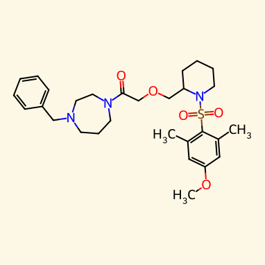 COc1cc(C)c(S(=O)(=O)N2CCCCC2COCC(=O)N2CCCN(Cc3ccccc3)CC2)c(C)c1